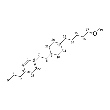 CCCc1ccc(CCC2CCC(CCCCCOC)CC2)cc1